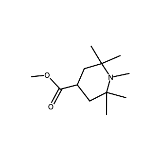 COC(=O)C1CC(C)(C)N(C)C(C)(C)C1